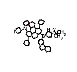 C[Si](C)(C)c1ccc(B(c2ccc3ccc4ccccc4c3c2)c2cc(-c3ccccc3)c3c4ccccc4c4c(N(c5ccccc5)c5ccncc5)cc(-c5ccccc5)c5ccc2c3c54)cc1